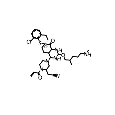 C=CC(=O)N1CCN(C2NC(OCC(C)CCCNC)NC3C(=O)[C@@]4(CCc5cccc(Cl)c5S4)CCC32)CC1CC#N